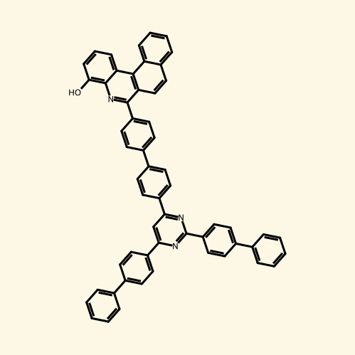 Oc1cccc2c1nc(-c1ccc(-c3ccc(-c4cc(-c5ccc(-c6ccccc6)cc5)nc(-c5ccc(-c6ccccc6)cc5)n4)cc3)cc1)c1ccc3ccccc3c12